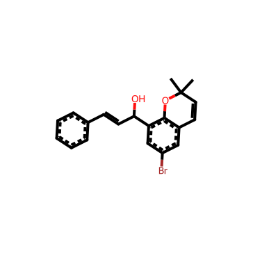 CC1(C)C=Cc2cc(Br)cc(C(O)/C=C/c3ccccc3)c2O1